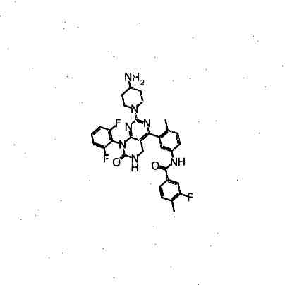 Cc1ccc(C(=O)Nc2ccc(C)c(-c3nc(N4CCC(N)CC4)nc4c3CNC(=O)N4c3c(F)cccc3F)c2)cc1F